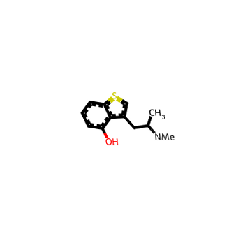 CNC(C)Cc1csc2cccc(O)c12